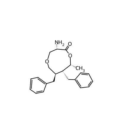 C[C@H]1OC(=O)[C@@H](N)COC[C@H](Cc2ccccc2)[C@H]1Cc1ccccc1